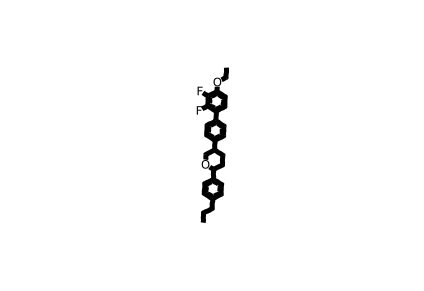 CCCc1ccc(C2CCC(c3ccc(-c4ccc(OCC)c(F)c4F)cc3)CO2)cc1